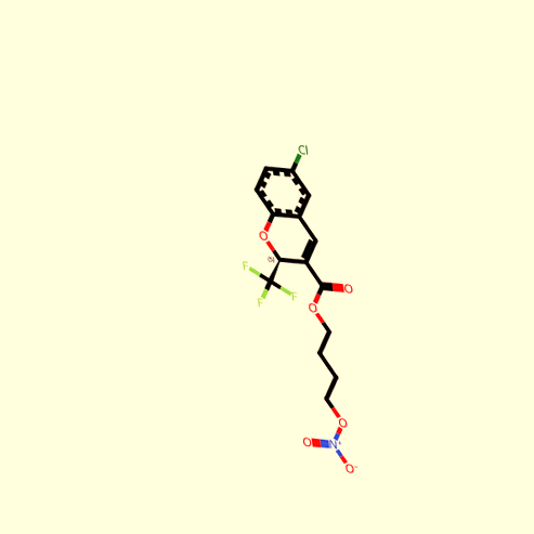 O=C(OCCCCO[N+](=O)[O-])C1=Cc2cc(Cl)ccc2O[C@@H]1C(F)(F)F